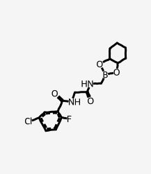 O=C(CNC(=O)c1cc(Cl)ccc1F)NCB1OC2CCCCC2O1